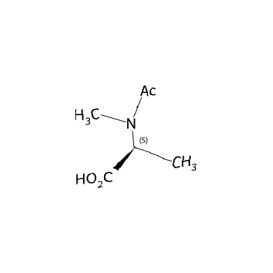 CC(=O)N(C)[C@@H](C)C(=O)O